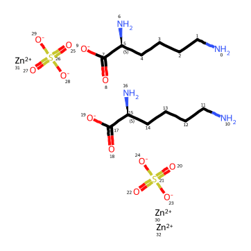 NCCCC[C@H](N)C(=O)[O-].NCCCC[C@H](N)C(=O)[O-].O=S(=O)([O-])[O-].O=S(=O)([O-])[O-].[Zn+2].[Zn+2].[Zn+2]